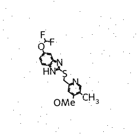 COc1cc(CSc2nc3cc(OC(F)F)ccc3[nH]2)ncc1C